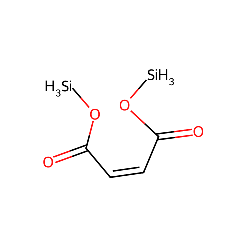 O=C(/C=C\C(=O)O[SiH3])O[SiH3]